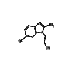 Cc1ccc2cc(C)n(CCC#N)c2c1